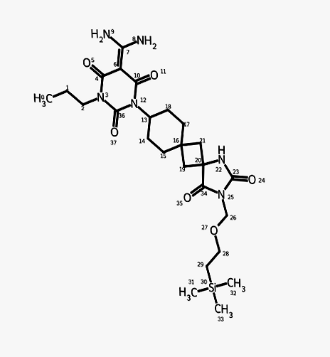 CCCN1C(=O)C(=C(N)N)C(=O)N(C2CCC3(CC2)CC2(C3)NC(=O)N(COCC[Si](C)(C)C)C2=O)C1=O